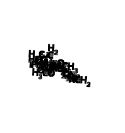 C=CC[C@@H](C)C(O)N[C@H](C(=O)N[C@@H](C)C(=O)N1CCC[C@@H](C(=O)O[C@H](C)c2ccc3cnc(C=C)cc3c2)N1)C(C)C